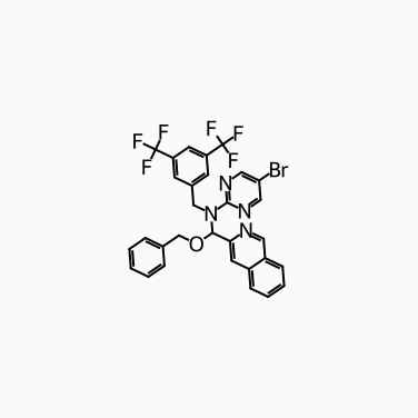 FC(F)(F)c1cc(CN(c2ncc(Br)cn2)C(OCc2ccccc2)c2cc3ccccc3cn2)cc(C(F)(F)F)c1